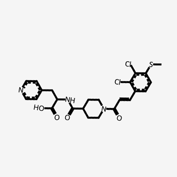 CSc1ccc(C=CC(=O)N2CCC(C(=O)NC(Cc3ccncc3)C(=O)O)CC2)c(Cl)c1Cl